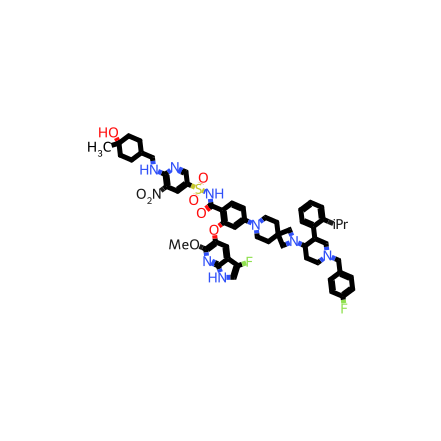 COc1nc2[nH]cc(F)c2cc1Oc1cc(N2CCC3(CC2)CN(C2CCN(Cc4ccc(F)cc4)CC2c2ccccc2C(C)C)C3)ccc1C(=O)NS(=O)(=O)c1cnc(NCC2CCC(C)(O)CC2)c([N+](=O)[O-])c1